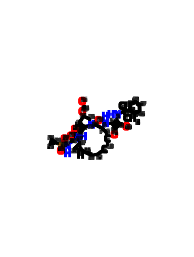 CC(C)(Nc1c(N[C@H]2CCCCC/C=C\[C@@H]3C[C@@]3(C(=O)NS(=O)(=O)C3CC3)NC(=O)[C@@H]3C[C@@H](OC=O)CN3C2=O)c(=O)c1=O)c1ccccc1